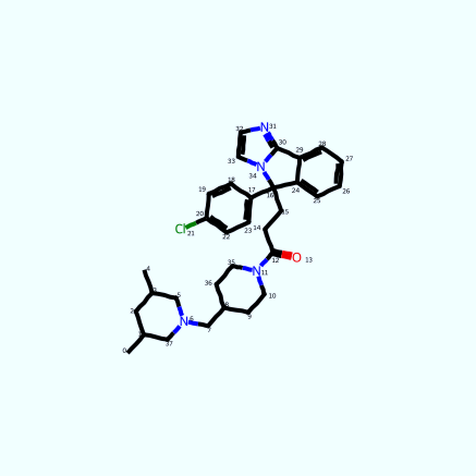 CC1CC(C)CN(CC2CCN(C(=O)CCC3(c4ccc(Cl)cc4)c4ccccc4-c4nccn43)CC2)C1